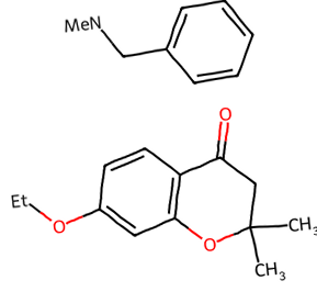 CCOc1ccc2c(c1)OC(C)(C)CC2=O.CNCc1ccccc1